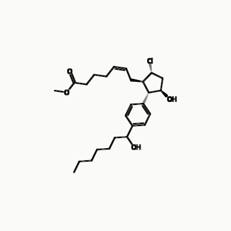 CCCCCCC(O)c1ccc([C@@H]2[C@@H](C/C=C\CCCC(=O)OC)[C@H](Cl)C[C@H]2O)cc1